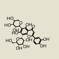 O=c1cc(-c2ccc(O)c(O)c2)oc2c([C@H]3O[C@H](CO)[C@@H](O)[C@H](O)[C@H]3O)c(O)c([C@@H]3OC[C@H](O)[C@H](O)[C@H]3O)c(O)c12